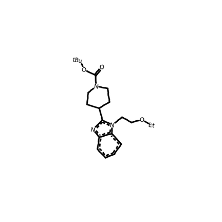 CCOCCn1c(C2CCN(C(=O)OC(C)(C)C)CC2)nc2ccccc21